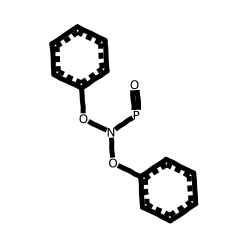 O=PN(Oc1ccccc1)Oc1ccccc1